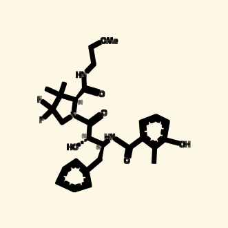 COCCNC(=O)[C@H]1N(C(=O)[C@@H](O)[C@H](Cc2ccccc2)NC(=O)c2cccc(O)c2C)CC(F)(F)C1(C)C